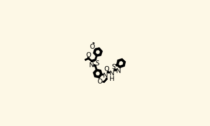 COc1cccc(-c2sc(-c3ccc4c(c3)N(C(=O)Nc3nc5ccccc5s3)CCO4)nc2C(C)=O)c1